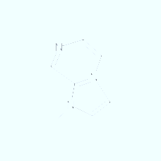 Cn1cc[n+]2ccncc12